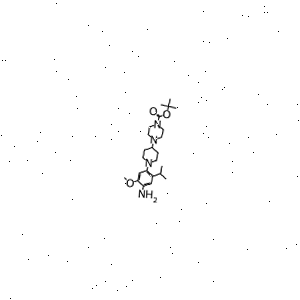 COc1cc(N2CCC(N3CCN(C(=O)OC(C)(C)C)CC3)CC2)c(C(C)C)cc1N